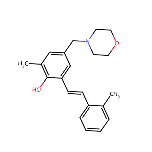 Cc1ccccc1/C=C/c1cc(CN2CCOCC2)cc(C)c1O